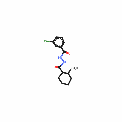 O=C(NNC(=O)C1CCCCC1C(=O)O)c1cccc(Cl)c1